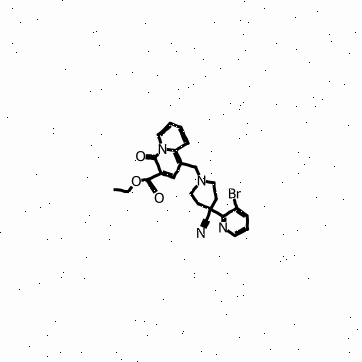 CCOC(=O)c1cc(CN2CCC(C#N)(c3ncccc3Br)CC2)c2ccccn2c1=O